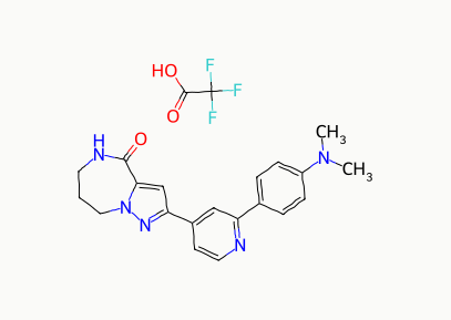 CN(C)c1ccc(-c2cc(-c3cc4n(n3)CCCNC4=O)ccn2)cc1.O=C(O)C(F)(F)F